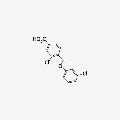 O=C(O)c1ccc(COc2cccc(Cl)c2)c(Cl)c1